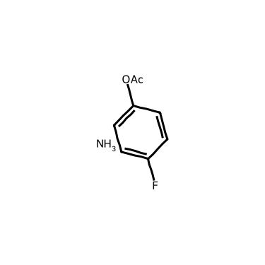 CC(=O)Oc1ccc(F)cc1.N